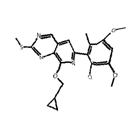 COc1cc(OC)c(Cl)c(-c2cc3cnc(SC)nc3c(OCC3CC3)n2)c1C